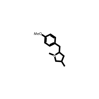 COc1ccc(CC2CC(C)CN2C)cc1